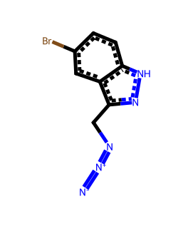 [N-]=[N+]=NCc1n[nH]c2ccc(Br)cc12